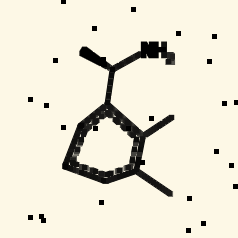 Cc1cccc([C@@H](C)N)c1C